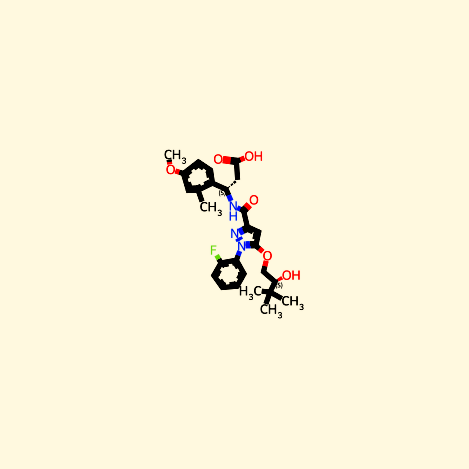 COc1ccc([C@H](CC(=O)O)NC(=O)c2cc(OC[C@@H](O)C(C)(C)C)n(-c3ccccc3F)n2)c(C)c1